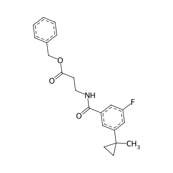 CC1(c2cc(F)cc(C(=O)NCCC(=O)OCc3ccccc3)c2)CC1